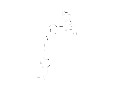 CCc1ccc(CCC/C=C/c2ccc(C3NC(=O)CNC3CC)o2)cc1